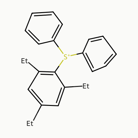 CCc1cc(CC)c([S+](c2ccccc2)c2ccccc2)c(CC)c1